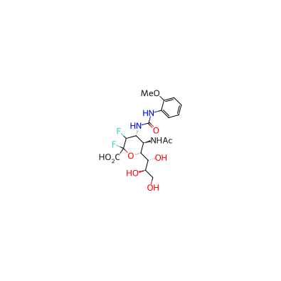 COc1ccccc1NC(=O)N[C@H]1C(F)C(F)(C(=O)O)O[C@@H]([C@H](O)[C@H](O)CO)[C@@H]1NC(C)=O